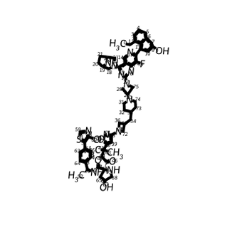 CCc1cccc2cc(O)cc(-c3ncc4c(N5CC6CCC(C5)N6)nc(N5CC(N6CCC(CC7CN(c8cc(C(C)(C)CC(=O)[C@@]9(C(=O)N[C@@H](C)c%10ccc(-c%11scnc%11C)cc%10)CC(O)CN9)on8)C7)CC6)C5)nc4c3F)c12